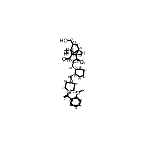 C=C(c1ccccc1SC)N1CCN(C[C@@H]2CCCC[C@H]2CN2C(=O)[C@@H]3[C@H]4CC(CO)[C@H](C4)[C@@H]3C2=O)CC1